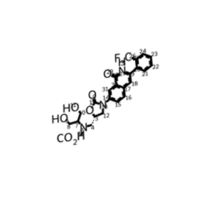 O=C1O[C@@H](CN(C(=O)O)C(CO)CO)CN1c1ccc2cc(-c3ccccc3C(F)(F)F)[nH]c(=O)c2c1